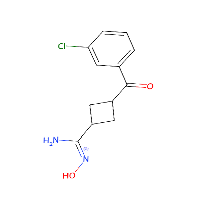 N/C(=N\O)C1CC(C(=O)c2cccc(Cl)c2)C1